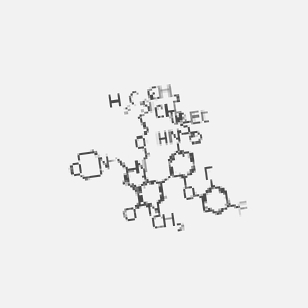 CCS(=O)(=O)Nc1ccc(Oc2ccc(F)cc2F)c(-c2cn(C)c(=O)c3cc(CN4CCOCC4)n(COCC[Si](C)(C)C)c23)c1